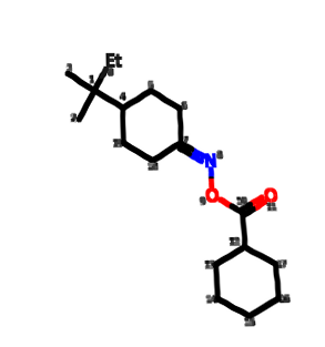 CCC(C)(C)C1CCC(=NOC(=O)C2CCCCC2)CC1